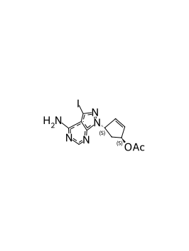 CC(=O)O[C@@H]1C=C[C@@H](n2nc(I)c3c(N)ncnc32)C1